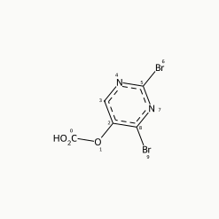 O=C(O)Oc1cnc(Br)nc1Br